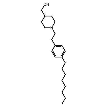 CCCCCCCCc1ccc(CCN2CCC(CO)CC2)cc1